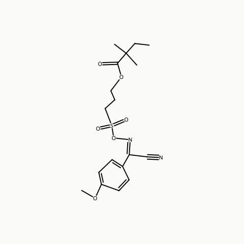 CCC(C)(C)C(=O)OCCCS(=O)(=O)O/N=C(/C#N)c1ccc(OC)cc1